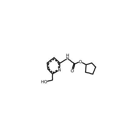 O=C(Nc1cccc(CO)n1)OC1CCCC1